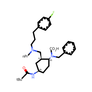 CCCN(CCCc1ccc(F)cc1)C[C@@H]1C[C@H](NC(=O)C(C)(C)C)CC[C@H]1N(Cc1ccccc1)C(=O)O